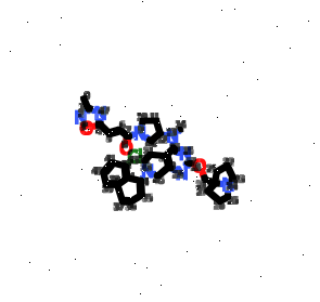 Cc1noc(/C=C/C(=O)N2CC[C@@H](N(C)c3nc(OCC45CCCN4CCC5)nc4c3CCN(c3cccc5cccc(Cl)c35)C4)C2)n1